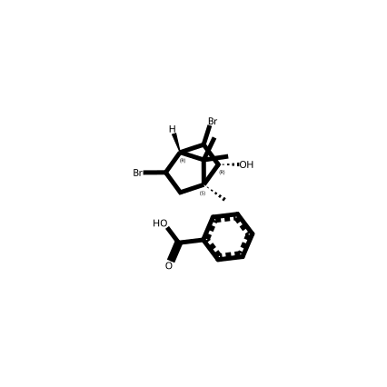 CC1(C)[C@@H]2C(Br)C[C@]1(C)[C@@H](O)C2Br.O=C(O)c1ccccc1